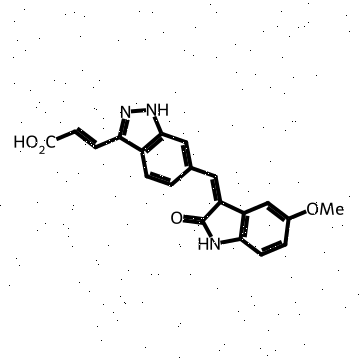 COc1ccc2c(c1)C(=Cc1ccc3c(C=CC(=O)O)n[nH]c3c1)C(=O)N2